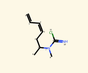 C=C/C=C\CC(C)N(C)C(=N)Cl